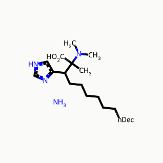 CCCCCCCCCCCCCCCCC(c1c[nH]cn1)C(C)(C(=O)O)N(C)C.N